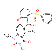 CCCn1c(=O)c2c(C)c(C(=O)C3=C(S(=O)(=O)c4ccccc4)CCCC3=O)ccc2n(C)c1=O